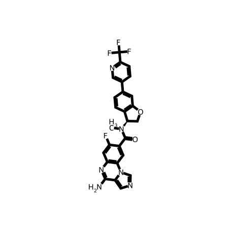 CN(C(=O)c1cc2c(cc1F)nc(N)c1cncn12)[C@@H]1COc2cc(-c3ccc(C(F)(F)F)nc3)ccc21